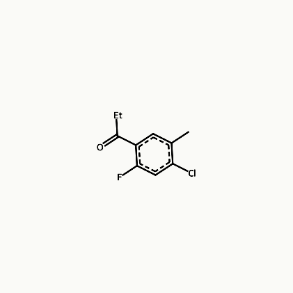 CCC(=O)c1cc(C)c(Cl)cc1F